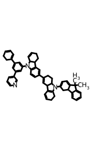 CC1(C)C2=CC=C(N3C4=C(C=CCC4)C4C=C(c5ccc6c(c5)C5CCC=CC5N6c5cc(C6=CC=CCC6)cc(-c6cccnc6)c5)CCC43)CC2c2ccccc21